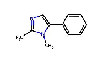 Cn1c(-c2ccccc2)cnc1C(F)(F)F